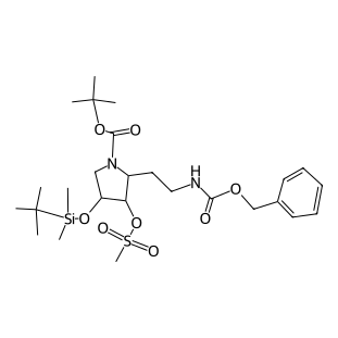 CC(C)(C)OC(=O)N1CC(O[Si](C)(C)C(C)(C)C)C(OS(C)(=O)=O)C1CCNC(=O)OCc1ccccc1